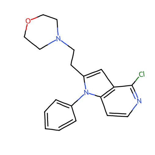 Clc1nccc2c1cc(CCN1CCOCC1)n2-c1ccccc1